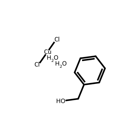 O.O.OCc1ccccc1.[Cl][Cu][Cl]